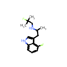 CC(Cc1c[nH]c2cccc(F)c12)NCC(C)(C)F